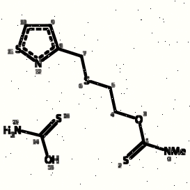 CNC(=S)OCCSCc1ccsn1.NC(O)=S